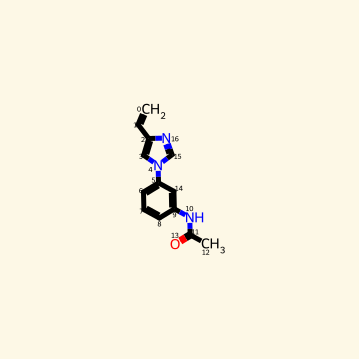 C=Cc1cn(-c2cccc(NC(C)=O)c2)cn1